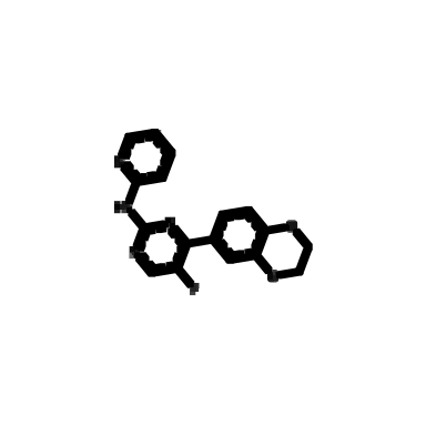 Fc1cnc(Nc2cc[c]cn2)nc1-c1ccc2c(c1)OCCO2